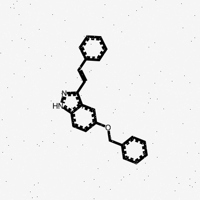 C(=Cc1n[nH]c2ccc(OCc3ccccc3)cc12)c1ccccc1